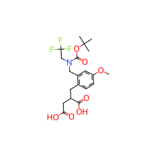 COc1ccc(CC(CC(=O)O)C(=O)O)c(CN(CC(F)(F)F)C(=O)OC(C)(C)C)c1